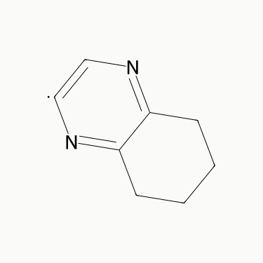 [c]1cnc2c(n1)CCCC2